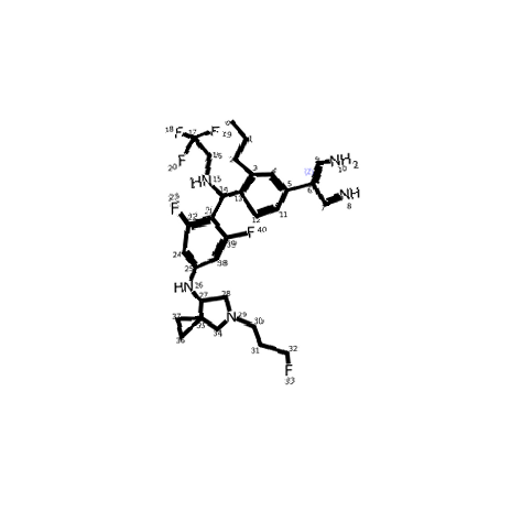 CCCc1cc(/C(C=N)=C/N)ccc1C(NCC(F)(F)F)c1c(F)cc(NC2CN(CCCF)CC23CC3)cc1F